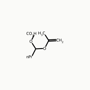 C=C(C)OC(CCC)OC(=O)O